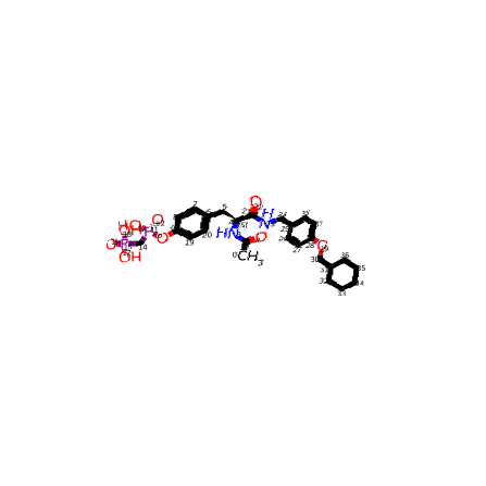 CC(=O)N[C@@H](Cc1ccc(OP(=O)(O)CP(=O)(O)O)cc1)C(=O)NCc1ccc(OCC2CCCCC2)cc1